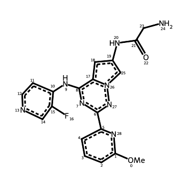 COc1cccc(-c2nc(Nc3ccncc3F)c3cc(NC(=O)CN)cn3n2)n1